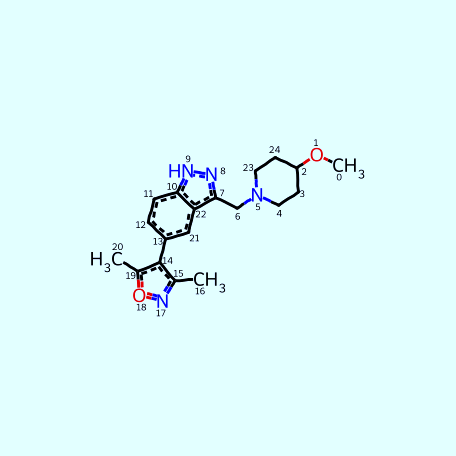 COC1CCN(Cc2n[nH]c3ccc(-c4c(C)noc4C)cc23)CC1